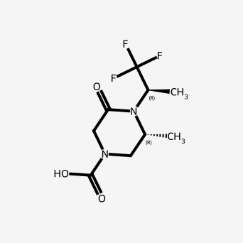 C[C@@H]1CN(C(=O)O)CC(=O)N1[C@H](C)C(F)(F)F